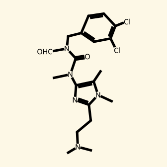 Cc1c(N(C)C(=O)N(C=O)Cc2ccc(Cl)c(Cl)c2)nc(CCN(C)C)n1C